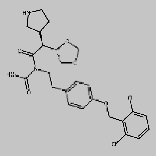 O=C(O)N(CCc1ccc(OCc2c(Cl)cccc2Cl)cc1)C(=O)[C@@H](C1CCNC1)[C@H]1COCO1